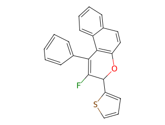 FC1=C(c2ccccc2)c2c(ccc3ccccc23)OC1c1cccs1